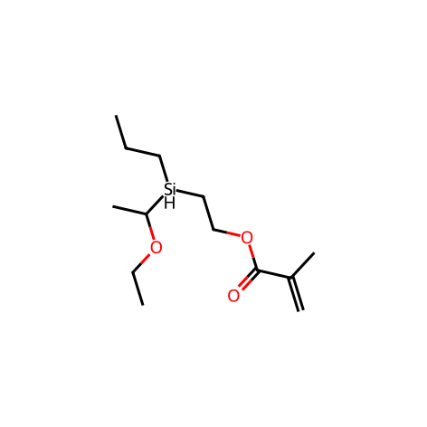 C=C(C)C(=O)OCC[SiH](CCC)C(C)OCC